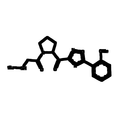 COc1ccccc1-c1nc(C(=O)C2CCCN2C(=O)CNC(C)(C)C)no1